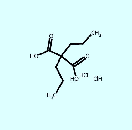 CCCC(CCC)(C(=O)O)C(=O)O.Cl.Cl